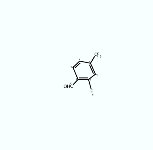 O=[C]c1ccc(C(F)(F)F)cc1F